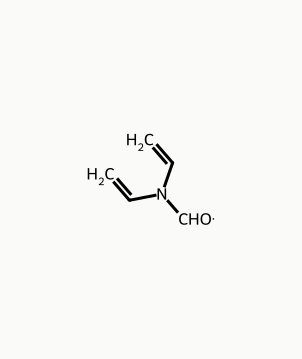 C=CN([C]=O)C=C